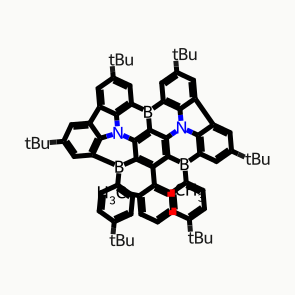 Cc1cccc(C)c1-c1c2c3c4c5c1B(c1ccc(C(C)(C)C)cc1)c1cc(C(C)(C)C)cc6c7cc(C(C)(C)C)cc(c7n-5c16)B4c1cc(C(C)(C)C)cc4c5cc(C(C)(C)C)cc(c5n-3c14)B2c1ccc(C(C)(C)C)cc1